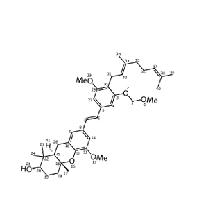 COCOc1cc(/C=C/c2cc3c(c(OC)c2)O[C@]2(C)CC[C@@H](O)C(C)(C)[C@H]2C3)cc(OC)c1C/C=C(\C)CCC=C(C)C